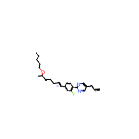 C=CCc1cnc(-c2ccc(/C=C/CCCC(C)OCCCCC)cc2F)nc1